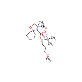 COCCC[C@@H](OC(=O)N1C(C)(C)COC12CCCCC2)[Si](C)(C)C